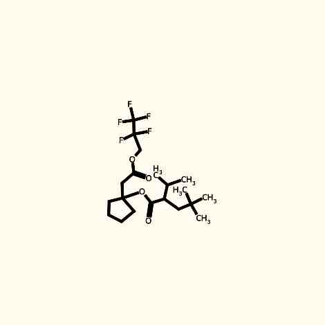 CC(C)C(CC(C)(C)C)C(=O)OC1(CC(=O)OCC(F)(F)C(F)(F)F)CCCC1